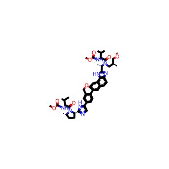 COC[C@@H](C)CN(C(=O)[C@@H](NC(=O)OC)C(C)C)[C@@H](C)c1nc2ccc3cc4c(cc3c2[nH]1)OCc1cc(-c2cnc([C@@H]3CC[C@H](C)N3C(=O)[C@@H](NC(=O)OC)C(C)C)[nH]2)ccc1-4